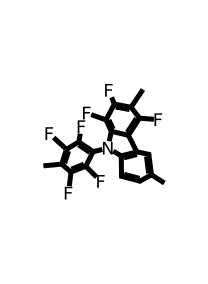 Cc1ccc2c(c1)c1c(F)c(C)c(F)c(F)c1n2-c1c(F)c(F)c(C)c(F)c1F